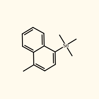 Cc1cc[c]([Sn]([CH3])([CH3])[CH3])c2ccccc12